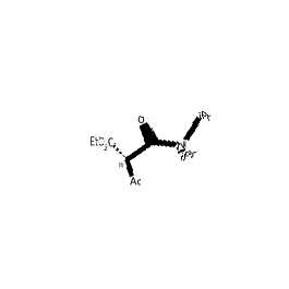 CCOC(=O)[C@@H](C(C)=O)C(=O)N(C(C)C)C(C)C